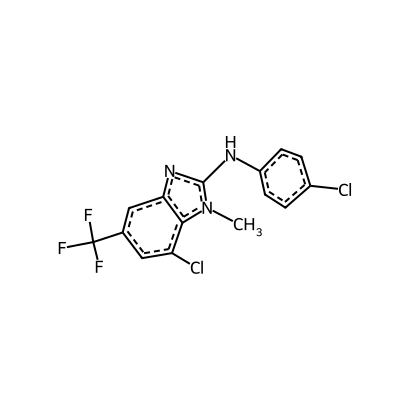 Cn1c(Nc2ccc(Cl)cc2)nc2cc(C(F)(F)F)cc(Cl)c21